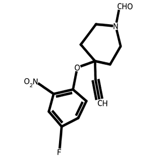 C#CC1(Oc2ccc(F)cc2[N+](=O)[O-])CCN(C=O)CC1